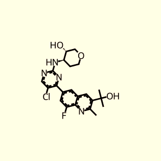 Cc1nc2c(F)cc(-c3nc(N[C@@H]4CCOC[C@H]4O)ncc3Cl)cc2cc1C(C)(C)O